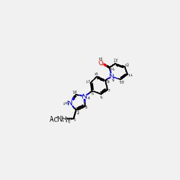 CC(=O)NCc1cn(-c2ccc(-n3ccccc3=O)cc2)cn1